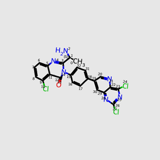 C[C@H](N)c1nc2cccc(Cl)c2c(=O)n1-c1ccc(-c2cnc3c(Cl)nc(Cl)nc3c2)cc1